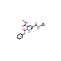 CNC(=O)C1=CC(C(=O)NC2CC2)=CNC1C(=O)Cc1ccccc1